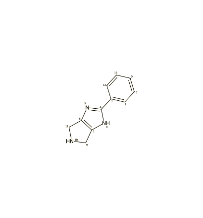 c1ccc(-c2nc3c([nH]2)CNC3)cc1